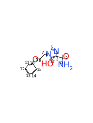 NC(=O)c1ncn(CCOc2ccccc2)c1O